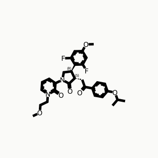 COCCn1cccc(N2C[C@@H](c3c(F)cc(OC)cc3F)[C@H](CC(=O)c3ccc(OC(C)C)cc3)C2=O)c1=O